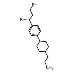 CCCC1CCC(c2ccc(C(Br)CCBr)cc2)CC1